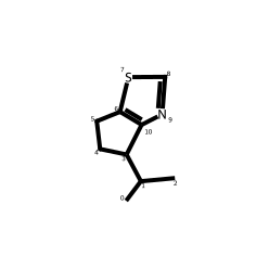 CC(C)C1CCc2scnc21